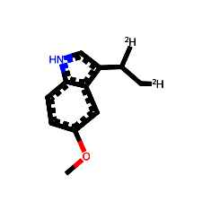 [2H]CC([2H])c1c[nH]c2ccc(OC)cc12